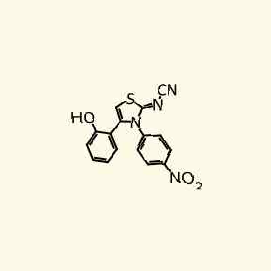 N#C/N=c1\scc(-c2ccccc2O)n1-c1ccc([N+](=O)[O-])cc1